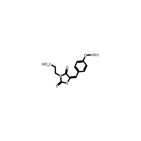 CCCCCCCCOc1ccc(C=C2SC(=S)N(CCC(=O)O)C2=O)cc1